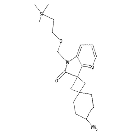 C[Si](C)(C)CCOCN1C(=O)C2(CC3(CCC(N)CC3)C2)c2ncccc21